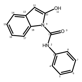 O=C(Nc1ccccc1)n1c(O)cc2ccccc21